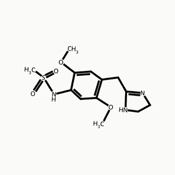 COc1cc(NS(C)(=O)=O)c(OC)cc1CC1=NCCN1